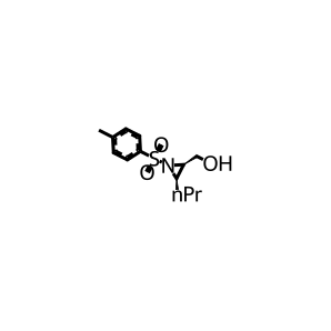 CCC[C@@H]1[C@H](CO)N1S(=O)(=O)c1ccc(C)cc1